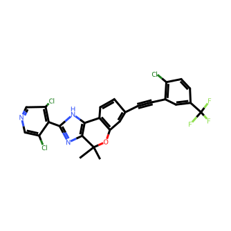 CC1(C)Oc2cc(C#Cc3cc(C(F)(F)F)ccc3Cl)ccc2-c2[nH]c(-c3c(Cl)cncc3Cl)nc21